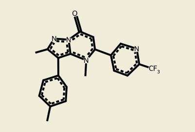 Cc1ccc(-c2c(C)nn3c(=O)cc(-c4ccc(C(F)(F)F)nc4)n(C)c23)cc1